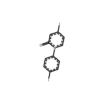 O=c1cc(I)ccn1-c1ccc(I)cc1